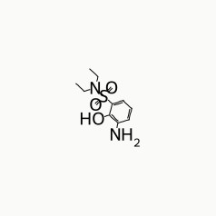 CCN(CC)S(=O)(=O)c1cccc(N)c1O